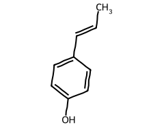 C/C=C/c1ccc(O)cc1